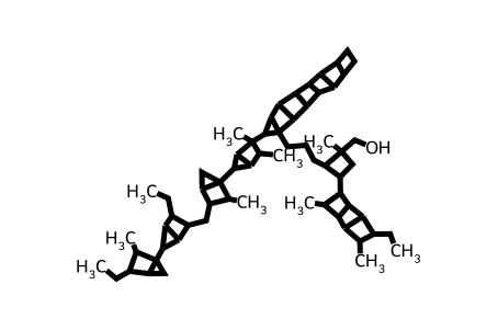 CCC1C(C)C2C3C(C)C(C4CC(C)(CO)C4CCCC45C6C7C8C9C%10CCC%10C9C8C7C6C4C5C4(C)C(C)C5C4C5C45CC4C(CC4C(CC)C6C4C6C46CC4C(CC)C6C)C5C)C3C12